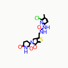 Cc1ccc(NC(=O)NCc2scc3c2CN(C2CCC(=O)NC2=O)C3=O)nc1Cl